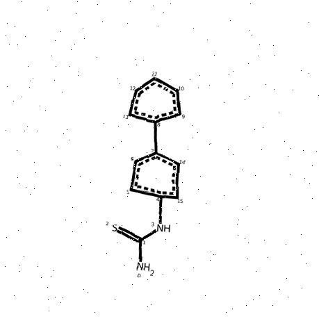 NC(=S)Nc1ccc(-c2ccccc2)cc1